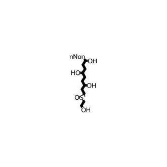 CCCCCCCCCC(O)CCC(O)CCC(O)CC[S+]([O-])CCO